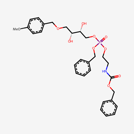 COc1ccc(COC[C@@H](O)[C@H](O)COP(=O)(OCCNC(=O)OCc2ccccc2)OCc2ccccc2)cc1